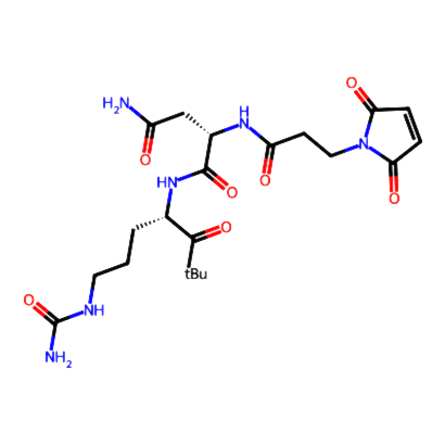 CC(C)(C)C(=O)[C@H](CCCNC(N)=O)NC(=O)[C@H](CC(N)=O)NC(=O)CCN1C(=O)C=CC1=O